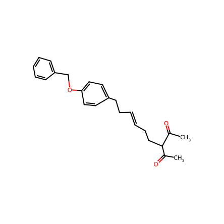 CC(=O)C(CCC=CCCc1ccc(OCc2ccccc2)cc1)C(C)=O